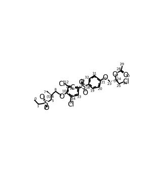 CCS(=O)(=O)C[C@@H](C)COc1c(Cl)cc(S(=O)(=O)c2ccc(OC[C@@H](CCl)OC(C)=O)cc2)cc1Cl